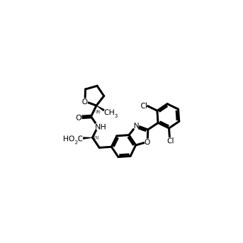 C[C@]1(C(=O)N[C@@H](Cc2ccc3oc(-c4c(Cl)cccc4Cl)nc3c2)C(=O)O)CCCO1